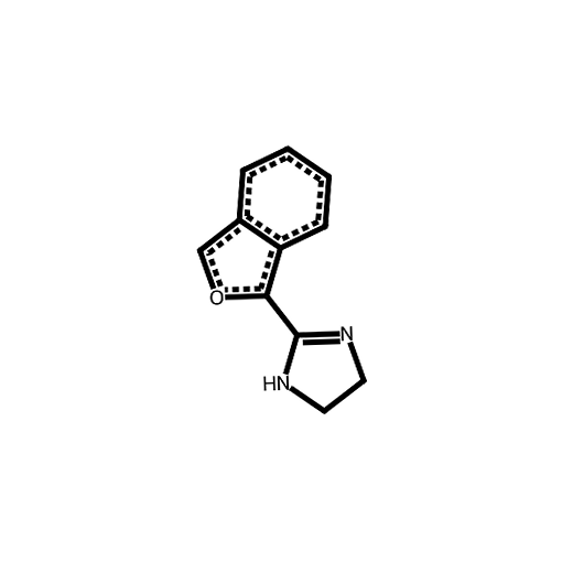 c1ccc2c(C3=NCCN3)occ2c1